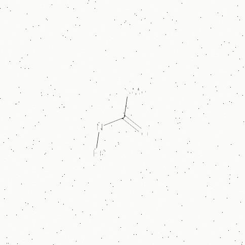 CC[N]C(=O)SC